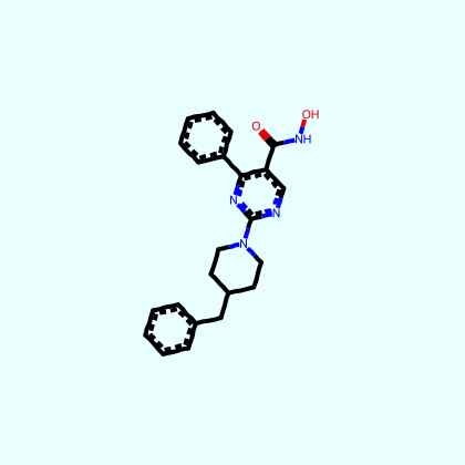 O=C(NO)c1cnc(N2CCC(Cc3ccccc3)CC2)nc1-c1ccccc1